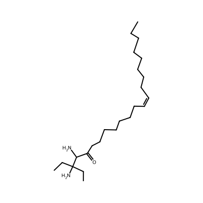 CCCCCCCC/C=C\CCCCCCCC(=O)C(N)C(N)(CC)CC